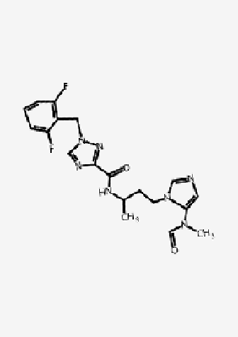 CC(CCn1cncc1N(C)C=O)NC(=O)c1ncn(Cc2c(F)cccc2F)n1